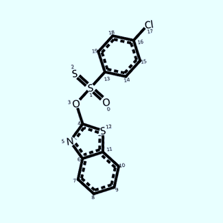 O=S(=S)(Oc1nc2ccccc2s1)c1ccc(Cl)cc1